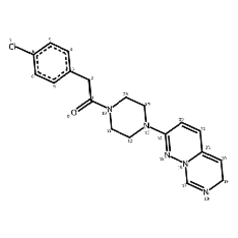 O=C(Cc1ccc(Cl)cc1)N1CCN(C2=NN3C=NCC=C3C=C2)CC1